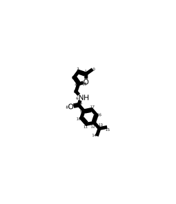 Cc1ccc(CNC(=O)c2ccc(C(C)C)cc2)o1